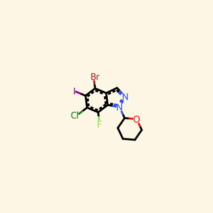 Fc1c(Cl)c(I)c(Br)c2cnn(C3CCCCO3)c12